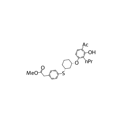 CCCc1c(O[C@H]2CCC[C@@H](Sc3ccc(CC(=O)OC)cc3)C2)ccc(C(C)=O)c1O